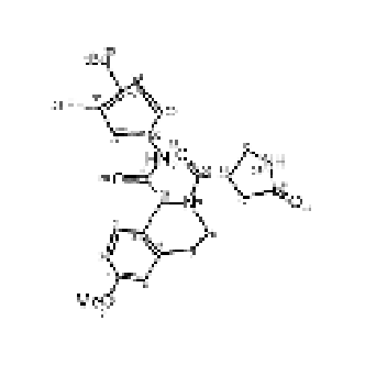 COc1ccc2c(c1)CCN(C(=O)[C@@H]1CNC(=O)C1)[C@H]2C(=O)Nc1ccc(C(C)(C)C)c(F)c1